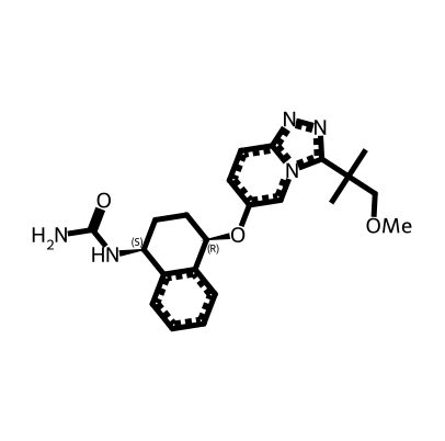 COCC(C)(C)c1nnc2ccc(O[C@@H]3CC[C@H](NC(N)=O)c4ccccc43)cn12